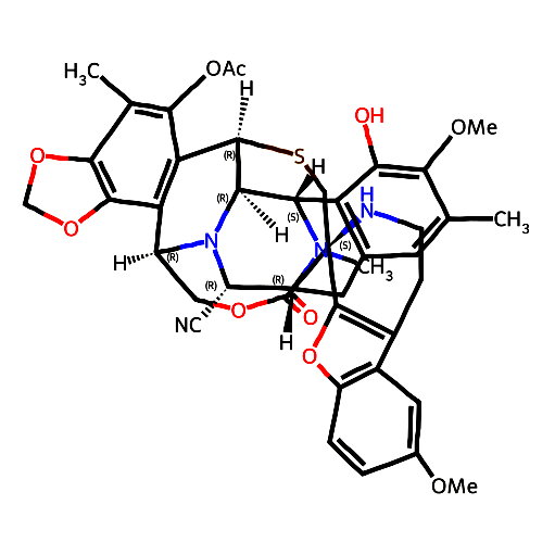 COc1ccc2oc3c(c2c1)CCN[C@@]31CS[C@@H]2c3c(OC(C)=O)c(C)c4c(c3[C@H](COC1=O)N1[C@@H]2[C@@H]2c3c(cc(C)c(OC)c3O)C[C@H]([C@@H]1C#N)N2C)OCO4